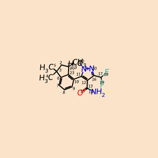 C[C@@H]1CC(C)(C)c2cccc(-c3c(C(N)=O)c(C(F)F)nn3C)c21